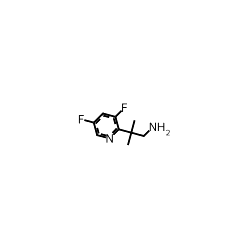 CC(C)(CN)c1ncc(F)cc1F